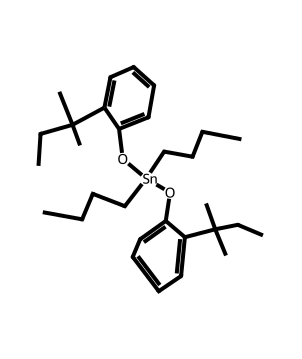 CCC[CH2][Sn]([CH2]CCC)([O]c1ccccc1C(C)(C)CC)[O]c1ccccc1C(C)(C)CC